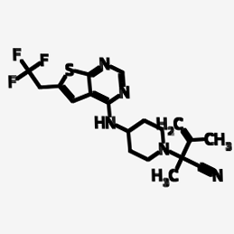 C=C(C)C(C)(C#N)N1CCC(Nc2ncnc3sc(CC(F)(F)F)cc23)CC1